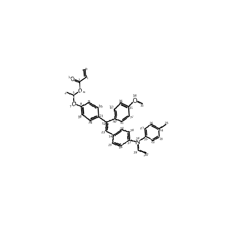 C=CC(=O)OC(C)Oc1ccc(C(=Cc2ccc(N(CC)c3ccc(C)cc3)cc2)c2ccc(OC)cc2)cc1